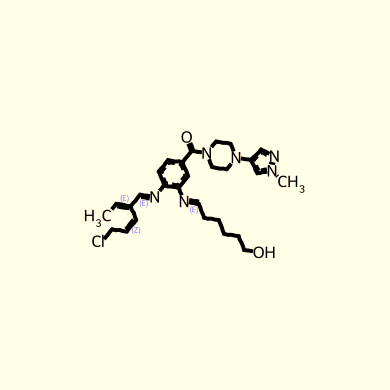 C/C=C(\C=C/CCl)/C=N/c1ccc(C(=O)N2CCN(c3cnn(C)c3)CC2)cc1/N=C/CCCCCO